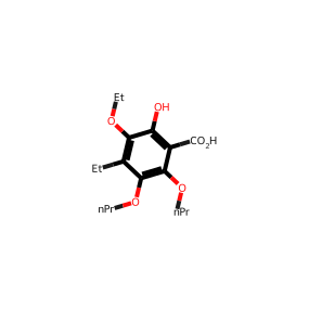 CCCOc1c(CC)c(OCC)c(O)c(C(=O)O)c1OCCC